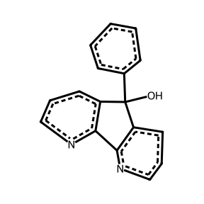 OC1(c2ccccc2)c2cccnc2-c2ncccc21